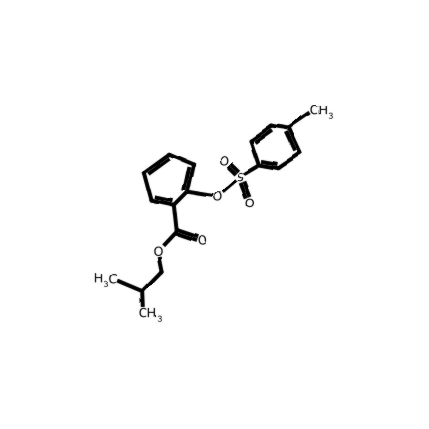 Cc1ccc(S(=O)(=O)Oc2ccccc2C(=O)OCC(C)C)cc1